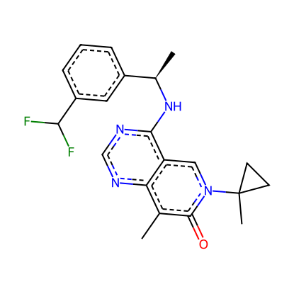 Cc1c(=O)n(C2(C)CC2)cc2c(N[C@H](C)c3cccc(C(F)F)c3)ncnc12